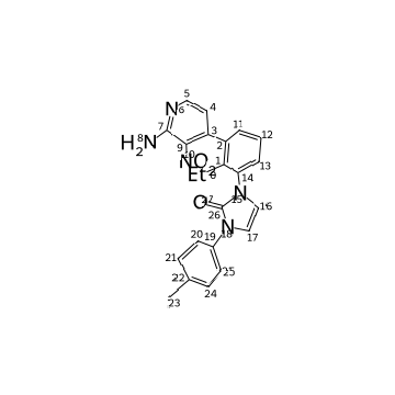 CCc1c(-c2ccnc(N)c2[N+](=O)[O-])cccc1-n1ccn(-c2ccc(C)cc2)c1=O